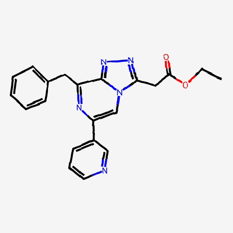 CCOC(=O)Cc1nnc2c(Cc3ccccc3)nc(-c3cccnc3)cn12